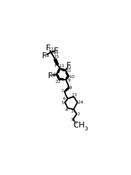 CCCC1CCC(/C=C/c2cc(F)c(C#CC(F)(F)F)c(F)c2)CC1